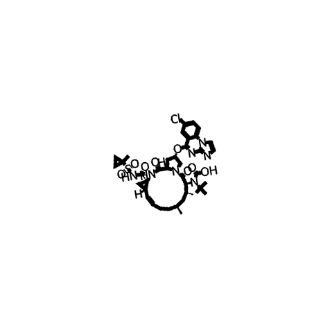 C[C@H]1CC/C=C\[C@@H]2C[C@@]2(C(=O)NS(=O)(=O)C2(C)CC2)NC(=O)[C@@H]2C[C@@H](Oc3nc4nccn4c4ccc(Cl)cc34)CN2C(=O)[C@@H](N(C(=O)O)C(C)(C)C)[C@H](C)C1